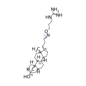 C[C@]12CC[C@H](O)C[C@H]1CC[C@@H]1[C@@H]2CC[C@]2(C)[C@@H](CC/C=N/OCCCNC(=N)N)CC[C@@H]12